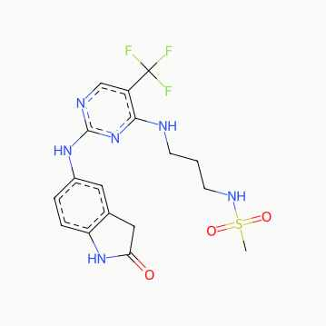 CS(=O)(=O)NCCCNc1nc(Nc2ccc3c(c2)CC(=O)N3)ncc1C(F)(F)F